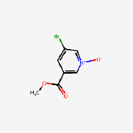 COC(=O)c1cc(Br)c[n+]([O-])c1